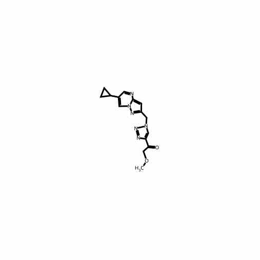 COCC(=O)c1cn(Cc2cc3ncc(C4CC4)cn3n2)nn1